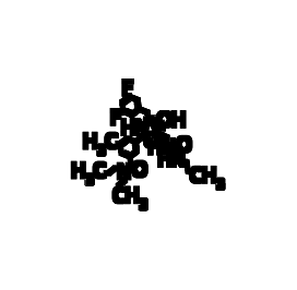 CCCNC(=O)NCC[C@H](O)[C@H](Cc1cc(F)cc(F)c1)NC(=O)c1cc(C)cc(C(=O)N(CCC)CCC)c1